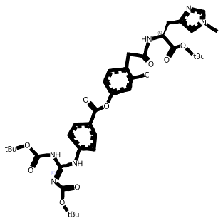 Cn1cnc(C[C@H](NC(=O)Cc2ccc(OC(=O)c3ccc(N/C(=N\C(=O)OC(C)(C)C)NC(=O)OC(C)(C)C)cc3)cc2Cl)C(=O)OC(C)(C)C)c1